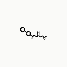 CC(=CCNCCN(C)C)c1ccc(-c2ccccc2)cc1